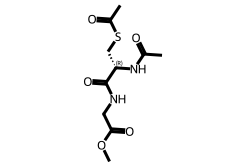 COC(=O)CNC(=O)[C@H](CSC(C)=O)NC(C)=O